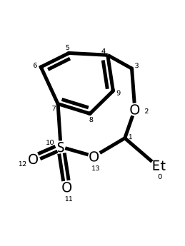 CCC1OCc2ccc(cc2)S(=O)(=O)O1